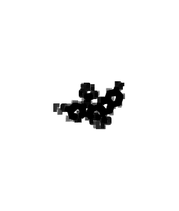 CCS(=O)(=O)c1cc2ccc(Br)cc2nc1-c1c(Cl)c2ncc(C(F)(F)F)cc2n1C(=O)OC(C)(C)C